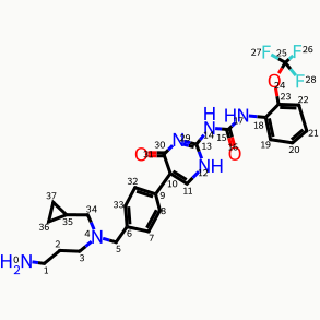 NCCCN(Cc1ccc(-c2c[nH]c(NC(=O)Nc3ccccc3OC(F)(F)F)nc2=O)cc1)CC1CC1